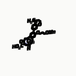 COCCCOc1cc2c(cc1-c1ccc3c(c1)OCCN3C)/C(C)=C/C(=O)/C(C(=O)O)=C\NCC2